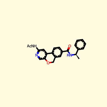 CC(=O)Nc1cc2c(cn1)OCc1cc(C(=O)N[C@H](C)c3ccccc3)ccc1-2